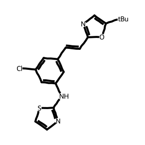 CC(C)(C)c1cnc(/C=C/c2cc(Cl)cc(Nc3nccs3)c2)o1